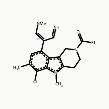 CCC(=O)N1CCc2c(c3c(/C(C=N)=C/NC)cc(C)c(Cl)c3n2C)C1